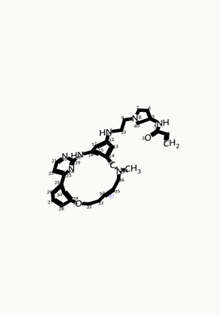 C=CC(=O)NC1CCN(CCNc2cc3cc(c2)Nc2nccc(n2)-c2cccc(c2)OCC/C=C/CN(C)C3)C1